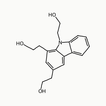 OCCc1cc(CCO)c2c(c1)c1ccccc1n2CCO